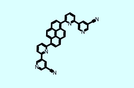 N#Cc1cncc(-c2cccc(-c3ccc4ccc5c(-c6cccc(-c7cncc(C#N)c7)n6)ccc6ccc3c4c65)n2)c1